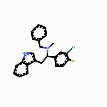 CN(Cc1ccccc1)C(Cc1c[nH]c2ccccc12)c1ccc(F)c(Cl)c1